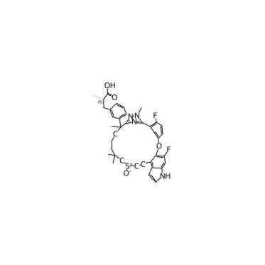 C[C@@H](Cc1cccc(C2(C)CCCC(C)(C)C[S+]([O-])CCc3c(c(F)cc4[nH]ccc34)Oc3ccc(F)c(c3)-c3nc2nn3C)c1)C(=O)O